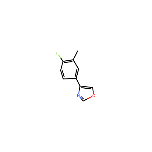 Cc1cc(-c2cocn2)ccc1F